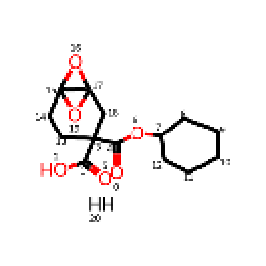 O=C(O)C1(C(=O)OC2CCCCC2)CCC23OC2(C1)O3.[HH]